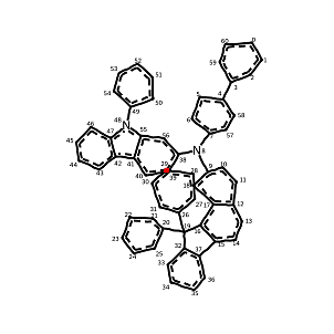 c1ccc(-c2ccc(N(c3ccc4ccc5c(c4c3)C(c3ccccc3)(c3ccccc3)c3ccccc3-5)c3ccc4c5ccccc5n(-c5ccccc5)c4c3)cc2)cc1